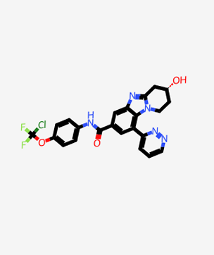 O=C(Nc1ccc(OC(F)(F)Cl)cc1)c1cc(-c2cccnn2)c2c(c1)nc1n2CC[C@@H](O)C1